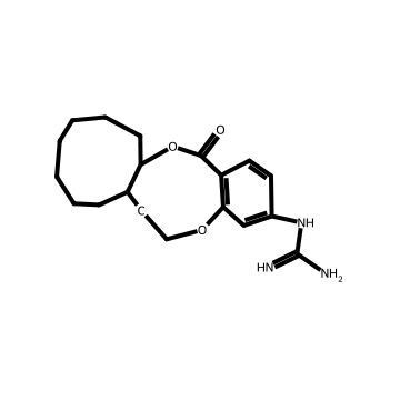 N=C(N)Nc1ccc2c(c1)OCCC1CCCCCCCC1OC2=O